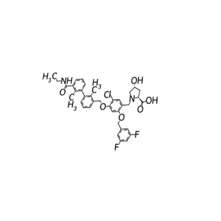 CCNC(=O)c1cccc(-c2cccc(COc3cc(OCc4cc(F)cc(F)c4)c(CN4C[C@H](O)C[C@H]4C(=O)O)cc3Cl)c2C)c1C